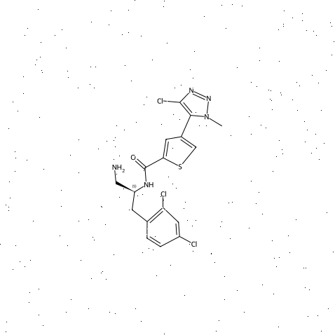 Cn1nnc(Cl)c1-c1csc(C(=O)N[C@H](CN)Cc2ccc(Cl)cc2Cl)c1